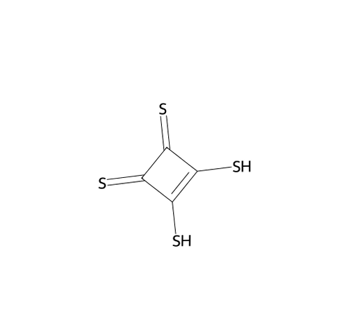 S=c1c(S)c(S)c1=S